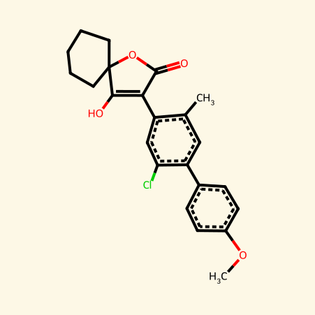 COc1ccc(-c2cc(C)c(C3=C(O)C4(CCCCC4)OC3=O)cc2Cl)cc1